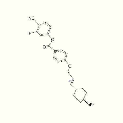 CCC[C@H]1CC[C@H](/C=C/COc2ccc(C(=O)Oc3ccc(C#N)c(F)c3)cc2)CC1